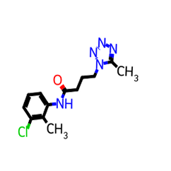 Cc1c(Cl)cccc1NC(=O)CCCn1nnnc1C